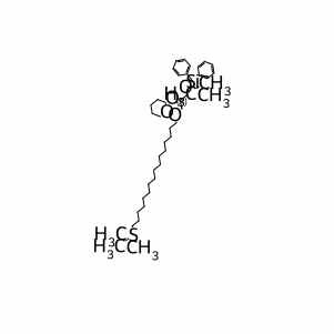 CC(C)(C)SCCCCCCCCCCCCCCCCOC[C@H](CO[Si](c1ccccc1)(c1ccccc1)C(C)(C)C)OC1CCCCO1